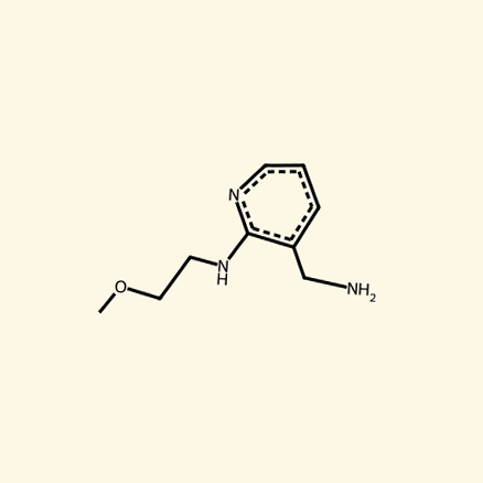 COCCNc1ncccc1CN